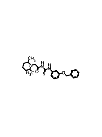 CC1CCCC(C)N1CC(=O)NC(=S)Nc1cccc(OCc2ccccc2)c1